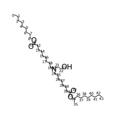 CCCCCCCCCOC(=O)CCCCCCCCN(CCO)CCCCCCCC(=O)OC(C)CCCCCCCC